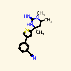 CC1C[C@@](C)(c2cc(-c3cccc(C#N)c3)cs2)NC(=N)N1C